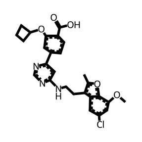 COc1cc(Cl)cc2c(CCNc3cc(-c4ccc(C(=O)O)c(OC5CCC5)c4)ncn3)c(C)oc12